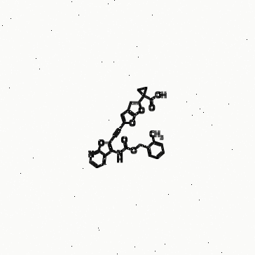 Cc1ccccc1COC(=O)Nc1c(C#Cc2cc3cc(C4(C(=O)O)CC4)oc3o2)oc2ncccc12